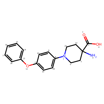 NC1(C(=O)O)CCN(c2ccc(Oc3ccccc3)cc2)CC1